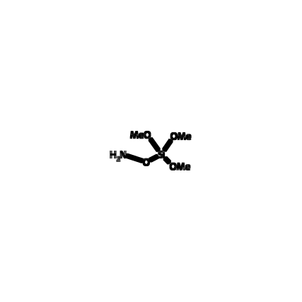 CO[Si](OC)(OC)ON